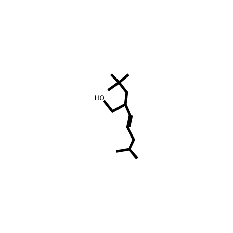 CC(C)C/C=C/C(CO)CC(C)(C)C